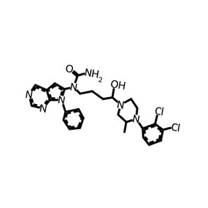 CC1CN(C(O)CCCN(C(N)=O)c2cc3cncnc3n2-c2ccccc2)CCN1c1cccc(Cl)c1Cl